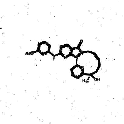 COc1cccc(Nc2ncc3c(=O)n4n(c3n2)-c2cccc(n2)[C@](C)(O)CC/C=C\C4)c1